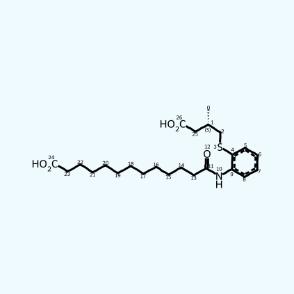 C[C@H](CSc1ccccc1NC(=O)CCCCCCCCCCCC(=O)O)CC(=O)O